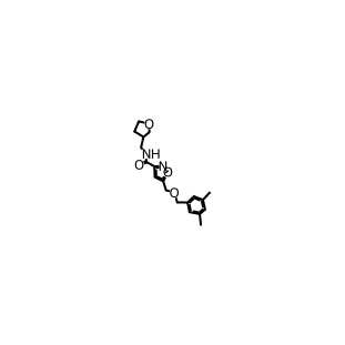 Cc1cc(C)cc(COCc2cc(C(=O)NCC3CCOC3)no2)c1